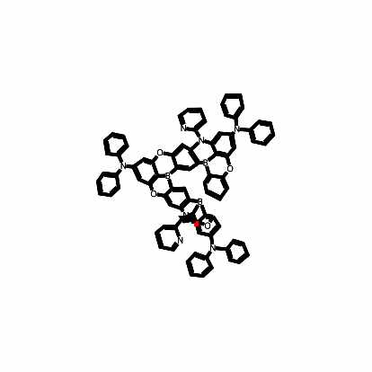 c1ccc(N(c2ccccc2)c2cc3c4c(c2)Oc2cc5c(cc2B4c2cc4c(cc2O3)N(c2ccccn2)c2cc(N(c3ccccc3)c3ccccc3)cc3c2B4c2ccccc2O3)B2c3ccccc3Oc3cc(N(c4ccccc4)c4ccccc4)cc(c32)N5c2ccccn2)cc1